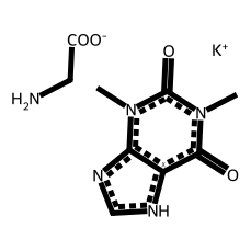 Cn1c(=O)c2[nH]cnc2n(C)c1=O.NCC(=O)[O-].[K+]